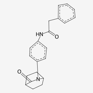 O=C(Cc1ccccc1)Nc1ccc(N2C(=O)C3CCC2CC3)cc1